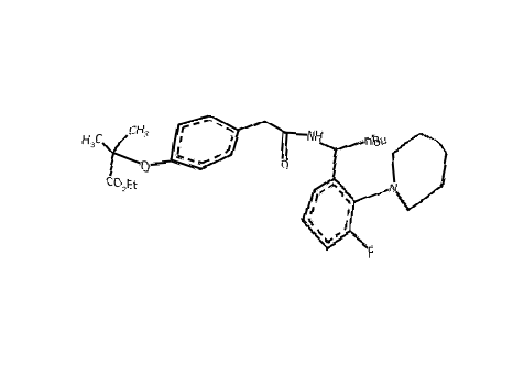 CCCCC(NC(=O)Cc1ccc(OC(C)(C)C(=O)OCC)cc1)c1cccc(F)c1N1CCCCC1